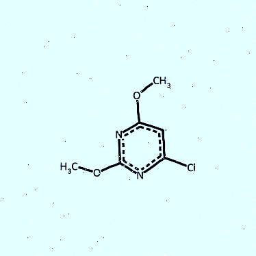 COc1[c]c(Cl)nc(OC)n1